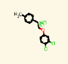 Cl.Cl.[CH2]c1ccc(CCOc2ccc(Cl)c(Cl)c2)cc1